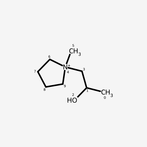 CC(O)C[N+]1(C)CCCC1